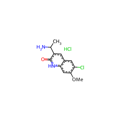 COc1cc2[nH]c(=O)c(C(C)N)cc2cc1Cl.Cl